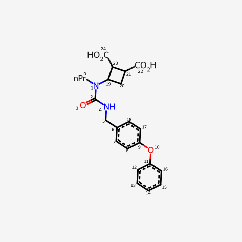 CCCN(C(=O)NCc1ccc(Oc2ccccc2)cc1)C1CC(C(=O)O)C1C(=O)O